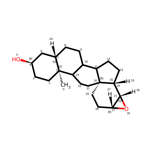 C[C@]12CC[C@@H](O)C[C@@H]1CCC1C3CC[C@@H]4[C@@H]5O[C@@H]5CC[C@]34CCC12